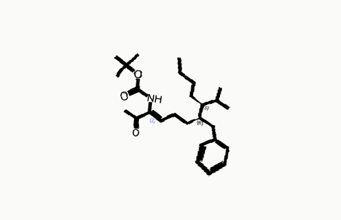 CCCC[C@@H](C(C)C)[C@H](CC/C=C(\NC(=O)OC(C)(C)C)C(C)=O)Cc1ccccc1